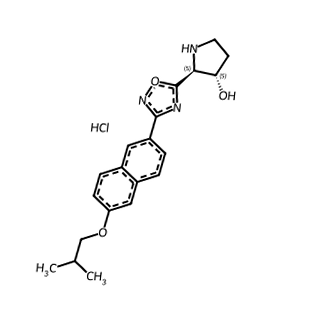 CC(C)COc1ccc2cc(-c3noc([C@H]4NCC[C@@H]4O)n3)ccc2c1.Cl